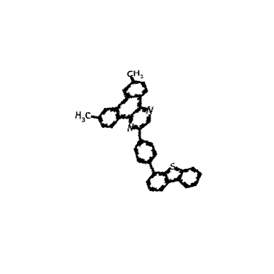 Cc1ccc2c(c1)c1cc(C)ccc1c1nc(-c3ccc(-c4cccc5c4sc4ccccc45)cc3)cnc21